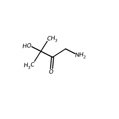 CC(C)(O)C(=O)CN